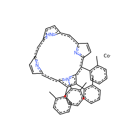 Cc1ccccc1-c1c(-c2ccccc2C)c2c(-c3ccccc3C)c3nc(cc4ccc(cc5nc(cc1n2-c1ccccc1C)C=C5)[nH]4)C=C3.[Co]